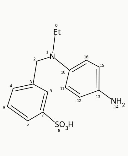 CCN(Cc1cccc(S(=O)(=O)O)c1)c1ccc(N)cc1